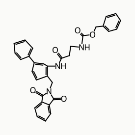 O=C(CCNC(=O)OCc1ccccc1)Nc1cc(-c2ccccc2)ccc1CN1C(=O)c2ccccc2C1=O